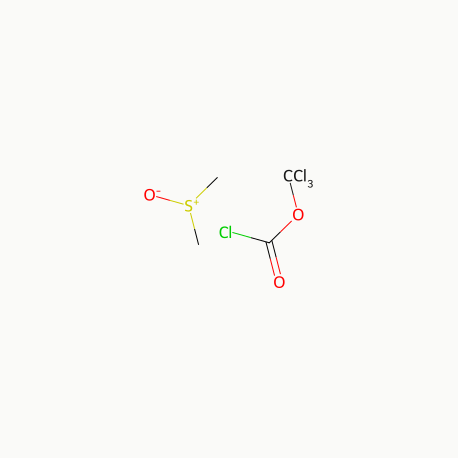 C[S+](C)[O-].O=C(Cl)OC(Cl)(Cl)Cl